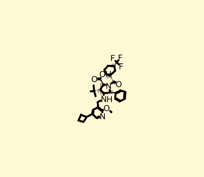 COc1ncc(C2CCC2)cc1CN[C@H]1[C@H](C(C)(C)C)[C@@H](C(=O)O)N(C(=O)[C@@H]2CCC[C@H](C(F)(F)F)C2)[C@H]1c1ccccc1